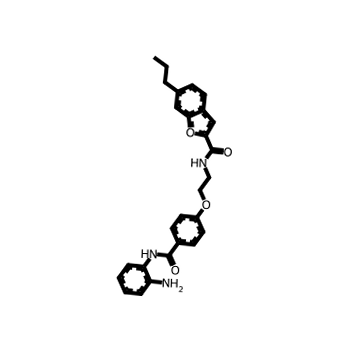 CCCc1ccc2cc(C(=O)NCCOc3ccc(C(=O)Nc4ccccc4N)cc3)oc2c1